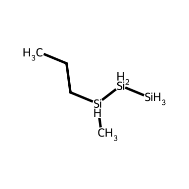 CCC[SiH](C)[SiH2][SiH3]